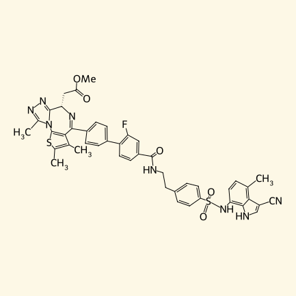 COC(=O)C[C@@H]1N=C(c2ccc(-c3ccc(C(=O)NCCc4ccc(S(=O)(=O)Nc5ccc(C)c6c(C#N)c[nH]c56)cc4)cc3F)cc2)c2c(sc(C)c2C)-n2c(C)nnc21